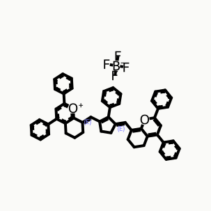 C1=C(c2ccccc2)OC2=C(/C=C3\CCC(/C=C4\CCCc5c(-c6ccccc6)cc(-c6ccccc6)[o+]c54)=C3c3ccccc3)CCCC2=C1c1ccccc1.F[B-](F)(F)F